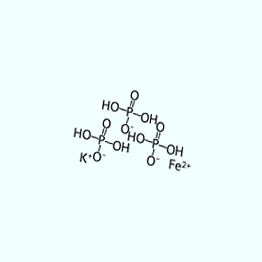 O=P([O-])(O)O.O=P([O-])(O)O.O=P([O-])(O)O.[Fe+2].[K+]